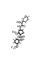 CCOc1cc(NC(=O)C(O)C2CCCOC2)ccc1S(=O)(=O)Nc1cccc(OC(F)(F)F)c1